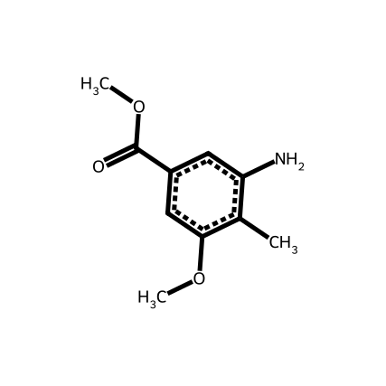 COC(=O)c1cc(N)c(C)c(OC)c1